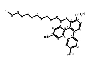 CC(C)(C)c1ccc(-c2ccc(S(=O)(=O)O)c(CCCCCCCCCCCCI)c2-c2ccc(C(C)(C)C)cc2)cc1